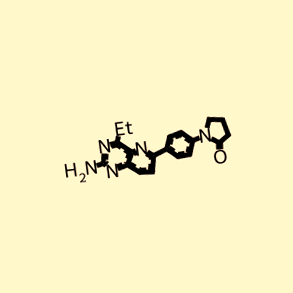 CCc1nc(N)nc2ccc(-c3ccc(N4CCCC4=O)cc3)nc12